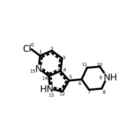 Clc1ccc2c(C3CCNCC3)c[nH]c2n1